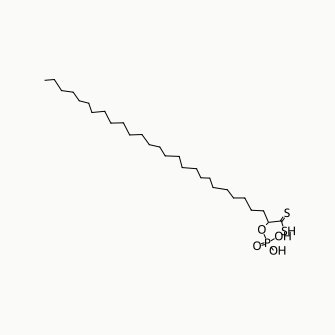 CCCCCCCCCCCCCCCCCCCCCCCCCCC(OP(=O)(O)O)C(=S)S